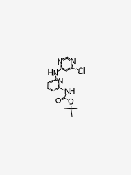 CC(C)(C)OC(=O)Nc1cccc(Nc2cc(Cl)ncn2)n1